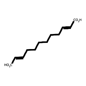 O=C(O)/C=C/CCCCCC/C=C/C(=O)O